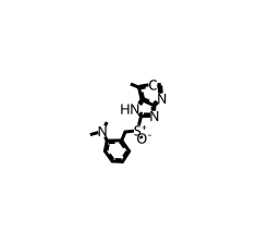 Cc1ccnc2nc([S+]([O-])Cc3ccccc3N(C)C)[nH]c12